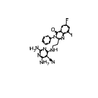 N#Cc1c(N)nc(N)nc1NCCc1nc2c(I)cc(F)cc2c(=O)n1-c1ccccc1